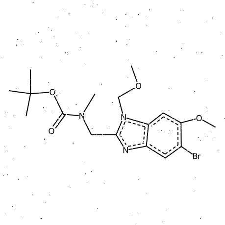 COCn1c(CN(C)C(=O)OC(C)(C)C)nc2cc(Br)c(OC)cc21